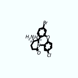 N[C@@H]1CCC(=O)N2c3cc(Cl)ccc3Oc3cc(Br)ccc3[C@@H]12